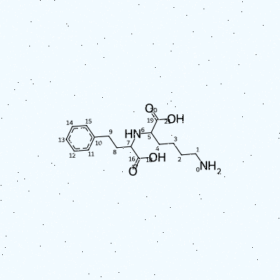 NCCCCC(NC(CCc1ccccc1)C(=O)O)C(=O)O